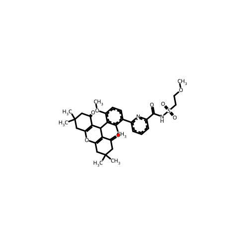 COCCS(=O)(=O)NC(=O)c1cccc(-c2ccc(OC)c(C3C4=C(CC(C)(C)CC4=O)OC4=C3C(=O)CC(C)(C)C4)c2C)n1